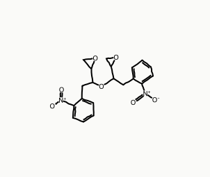 O=[N+]([O-])c1ccccc1CC(OC(Cc1ccccc1[N+](=O)[O-])C1CO1)C1CO1